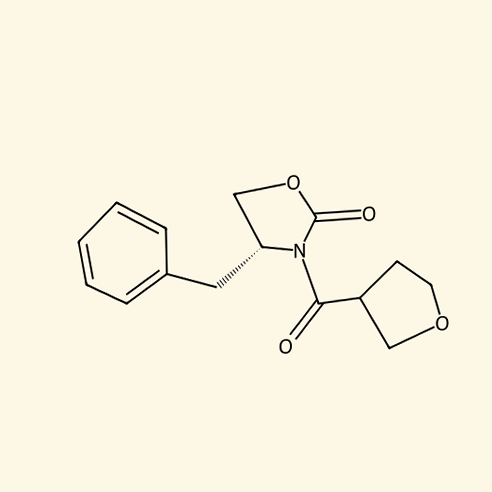 O=C1OC[C@@H](Cc2ccccc2)N1C(=O)C1CCOC1